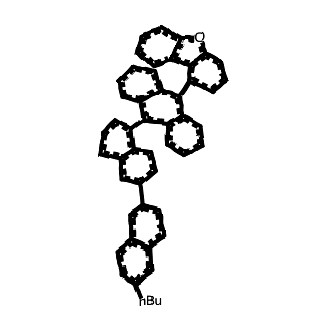 CCCCc1ccc2cc(-c3ccc4c(-c5c6ccccc6c(-c6cccc7oc8ccccc8c67)c6ccccc56)cccc4c3)ccc2c1